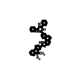 CC1(C)c2ccccc2-c2ccc(C3Nc4c(ccc5ccc6cc(C7NC(c8ccccc8)NC(c8ccccc8)N7)ccc6c45)S3)cc21